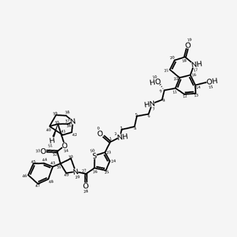 O=C(NCCCCNC[C@H](O)c1ccc(O)c2[nH]c(=O)ccc12)c1ccc(C(=O)N2CC(C(=O)O[C@H]3CN4CCC3CC4)(c3ccccc3)C2)s1